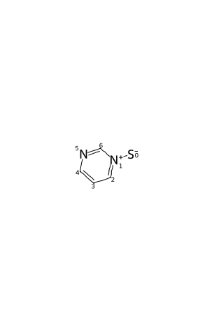 [S-][n+]1cccnc1